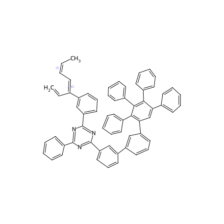 C=C/C(=C\C=C/C)c1cccc(-c2nc(-c3ccccc3)nc(-c3cccc(-c4cccc(-c5cc(-c6ccccc6)c(-c6ccccc6)c(-c6ccccc6)c5-c5ccccc5)c4)c3)n2)c1